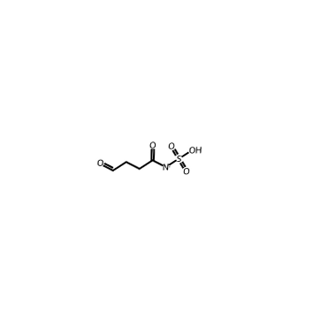 O=CCCC(=O)[N]S(=O)(=O)O